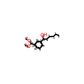 CCCCCC(O)c1cccc(C(OC)OC)c1